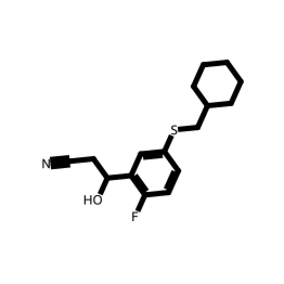 N#CCC(O)c1cc(SCC2CCCCC2)ccc1F